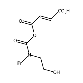 CC(C)N(CCO)C(=O)OC(=O)/C=C/C(=O)O